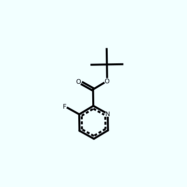 CC(C)(C)OC(=O)c1ncccc1F